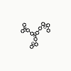 c1ccc(-c2cccc3c2oc2c(-c4ccc(-c5ccc6c(c5)c5cc(-c7ccc8c(c7)c7ccccc7n8-c7ccccc7)ccc5n6-c5ccc(-c6cccc7c6oc6ccccc67)cc5)cc4)cccc23)cc1